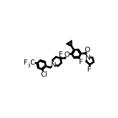 O=C(c1cc(C2CC2)c(OCC2(F)CCN(Cc3ccc(C(F)(F)F)cc3Cl)CC2)cc1F)N1CCC(F)C1